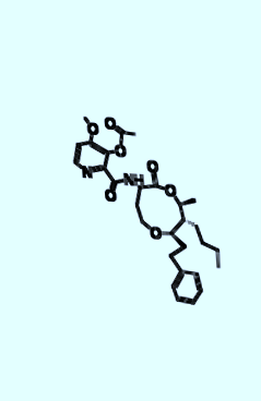 CCCC[C@H]1[C@H](C)OC(=O)[C@@H](NC(=O)c2nccc(OC)c2OC(C)=O)CCO[C@@H]1CCc1ccccc1